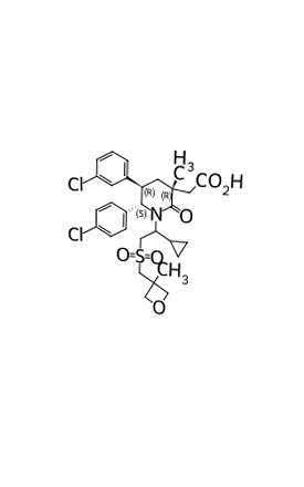 CC1(CS(=O)(=O)CC(C2CC2)N2C(=O)[C@@](C)(CC(=O)O)C[C@H](c3cccc(Cl)c3)[C@H]2c2ccc(Cl)cc2)COC1